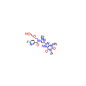 CCCn1c(=O)n(C2CC2)c(=O)c2[nH]c(-c3cc(N(CCOCCO)C(=O)c4ccc(F)nc4)n(CC)n3)nc21